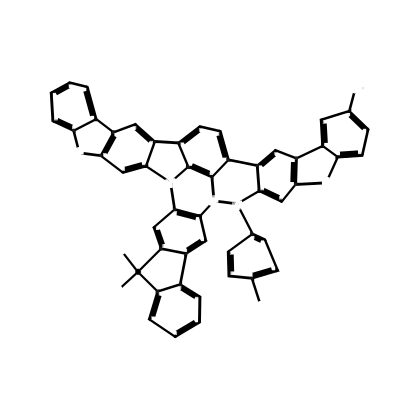 CC(C)(C)c1ccc(N2B3c4cc5c(cc4-n4c6cc7sc8ccccc8c7cc6c6ccc(c3c64)-c3cc4c(cc32)sc2ccc(C(C)(C)C)cc24)C(C)(C)c2ccccc2-5)cc1